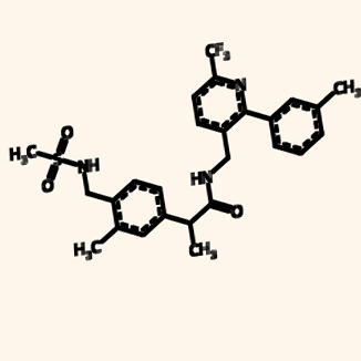 Cc1cccc(-c2nc(C(F)(F)F)ccc2CNC(=O)C(C)c2ccc(CNS(C)(=O)=O)c(C)c2)c1